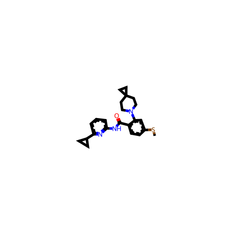 CSc1ccc(C(=O)Nc2cccc(C3CC3)n2)c(N2CCC3(CC2)CC3)c1